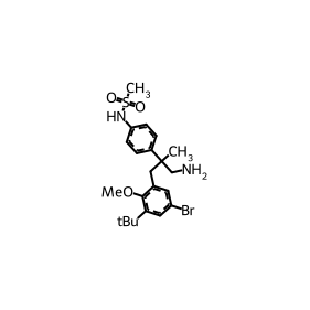 COc1c(CC(C)(CN)c2ccc(NS(C)(=O)=O)cc2)cc(Br)cc1C(C)(C)C